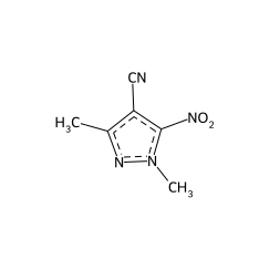 Cc1nn(C)c([N+](=O)[O-])c1C#N